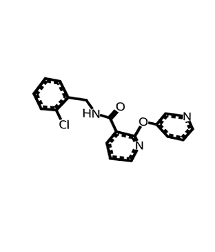 O=C(NCc1ccccc1Cl)c1cccnc1Oc1cccnc1